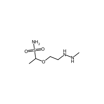 CNNCCOC(C)S(N)(=O)=O